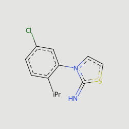 CC(C)c1ccc(Cl)cc1-n1ccsc1=N